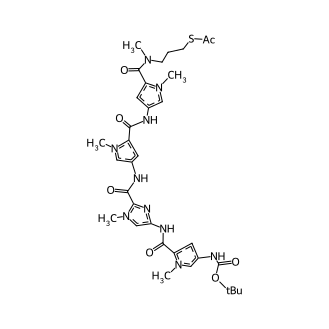 CC(=O)SCCCN(C)C(=O)c1cc(NC(=O)c2cc(NC(=O)c3nc(NC(=O)c4cc(NC(=O)OC(C)(C)C)cn4C)cn3C)cn2C)cn1C